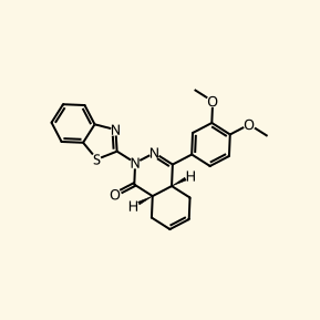 COc1ccc(C2=NN(c3nc4ccccc4s3)C(=O)[C@H]3CC=CC[C@@H]23)cc1OC